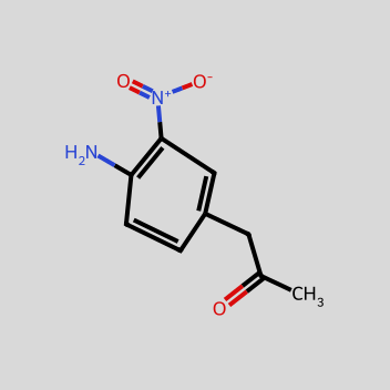 CC(=O)Cc1ccc(N)c([N+](=O)[O-])c1